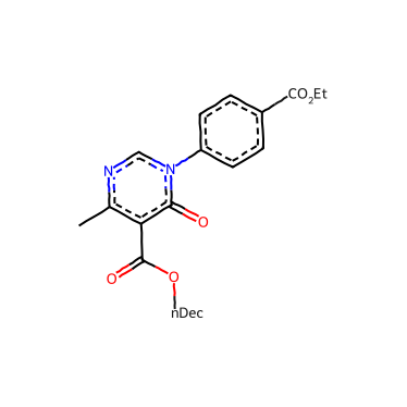 CCCCCCCCCCOC(=O)c1c(C)ncn(-c2ccc(C(=O)OCC)cc2)c1=O